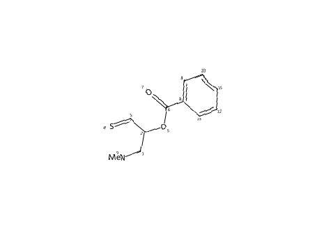 CNCC([C]=S)OC(=O)c1ccccc1